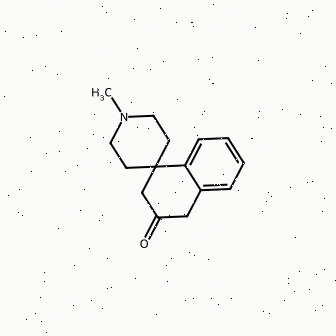 CN1CCC2(CC1)CC(=O)Cc1ccccc12